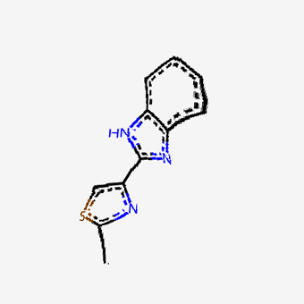 [CH2]c1nc(-c2nc3ccccc3[nH]2)cs1